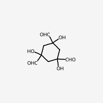 O=CC1(O)CC(O)(C=O)CC(O)(C=O)C1